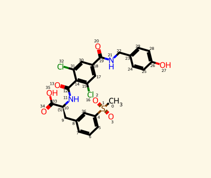 CS(=O)(=O)c1cccc(C[C@H](NC(=O)c2c(Cl)cc(C(=O)NCc3ccc(O)cc3)cc2Cl)C(=O)O)c1